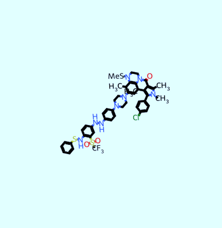 CSN1CCN2C(=O)c3c(c(-c4ccc(Cl)cc4)n(C)c3C)C3(C)C=C(N4CCN(c5ccc(NNc6ccc(NSc7ccccc7)c(S(=O)(=O)C(F)(F)F)c6)cc5)CC4)C(C)C1=C23